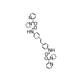 O=C(NC1=CCC(/C=C/c2ccc(NC(=O)[C@@H]3CCCN3C(=O)c3ccccn3)cc2)C=C1)[C@@H]1CCCN1C(=O)c1ccccn1